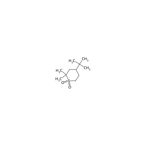 CC(C)(C)C1CCS(=O)(=O)C(C)(C)C1